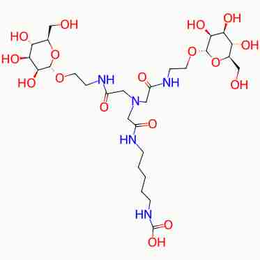 O=C(O)NCCCCCNC(=O)CN(CC(=O)NCCO[C@H]1O[C@H](CO)[C@@H](O)[C@H](O)[C@@H]1O)CC(=O)NCCO[C@H]1O[C@H](CO)[C@@H](O)[C@H](O)[C@@H]1O